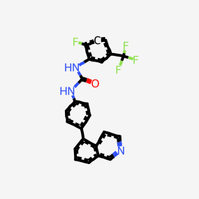 O=C(Nc1ccc(-c2cccc3cnccc23)cc1)Nc1cc(C(F)(F)F)ccc1F